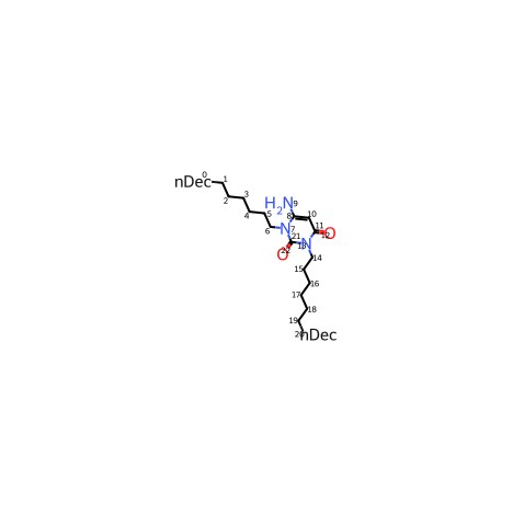 CCCCCCCCCCCCCCCCn1c(N)cc(=O)n(CCCCCCCCCCCCCCCC)c1=O